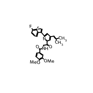 COc1ccc(C(=O)NCC(=O)c2cc(C=C(C)C)cc(-c3csc4c(F)cccc34)n2)cc1OC